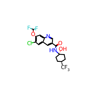 O=C(N[C@]1(O)CC[C@H](C(F)(F)F)CC1)c1cnc2cc(OC(F)F)c(Cl)cc2c1